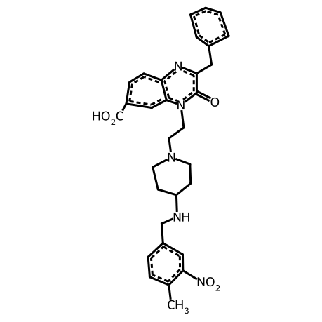 Cc1ccc(CNC2CCN(CCn3c(=O)c(Cc4ccccc4)nc4ccc(C(=O)O)cc43)CC2)cc1[N+](=O)[O-]